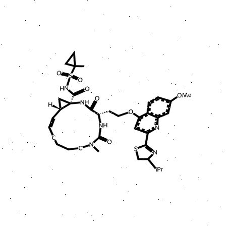 COc1ccc2c(OCC[C@@H]3NC(=O)N(C)CCCC/C=C\[C@@H]4C[C@@]4(C(=O)NS(=O)(=O)C4(C)CC4)NC3=O)cc(C3=NC(C(C)C)CS3)nc2c1